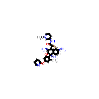 Cc1cc(Oc2ccccn2)ccc1C1(N)C(=O)C(N)C2c3c1ccc(N)c3SC2C(=O)NC1CCCN(C)C1